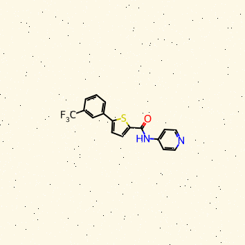 O=C(Nc1ccncc1)c1ccc(-c2cccc(C(F)(F)F)c2)s1